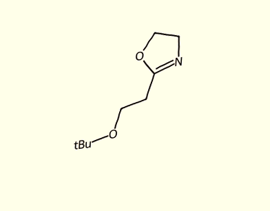 CC(C)(C)OCCC1=NCCO1